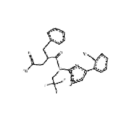 O=C(O)CC(Cc1ccccc1)C(=O)N(CC(F)(F)F)c1nc(-c2ccccc2Cl)cs1